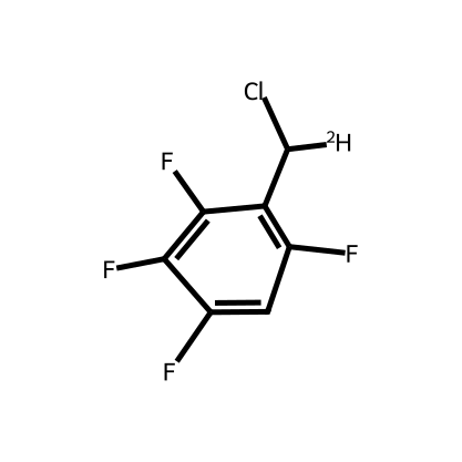 [2H]C(Cl)c1c(F)cc(F)c(F)c1F